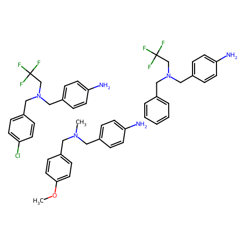 COc1ccc(CN(C)Cc2ccc(N)cc2)cc1.Nc1ccc(CN(Cc2ccc(Cl)cc2)CC(F)(F)F)cc1.Nc1ccc(CN(Cc2ccccc2)CC(F)(F)F)cc1